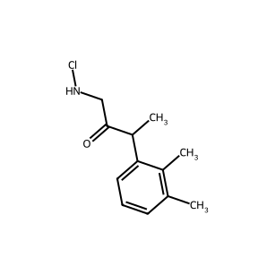 Cc1cccc(C(C)C(=O)CNCl)c1C